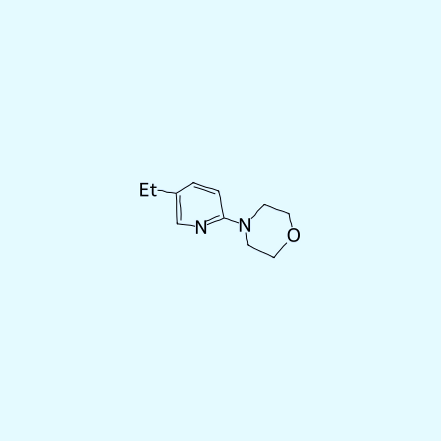 CCc1ccc(N2CCOCC2)nc1